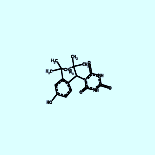 CC(C)(C)c1cc(O)ccc1C(n1c(=O)[nH]c(=O)[nH]c1=O)C(C)(C)C